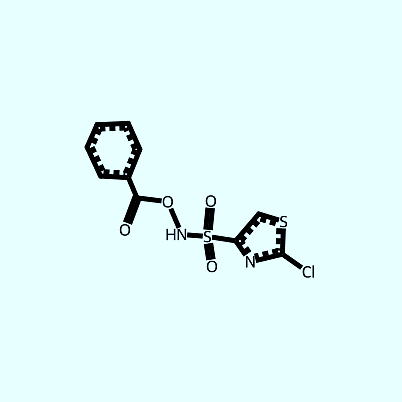 O=C(ONS(=O)(=O)c1csc(Cl)n1)c1ccccc1